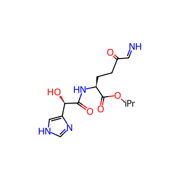 CC(C)OC(=O)[C@H](CCC(=O)C=N)NC(=O)[C@H](O)c1c[nH]cn1